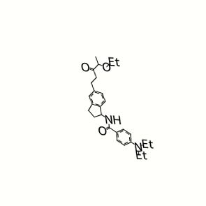 CCOC(C)C(=O)CCc1ccc2c(c1)CCC2NC(=O)c1ccc(N(CC)CC)cc1